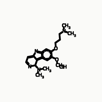 COc1cc2c(cc1OCCCN(C)C)=NC1=CC=NC(N(C)C)C=21.Cl